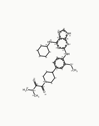 COc1cc(C2CCN(C(=O)C(=O)N(C)C)CC2)ccc1Nc1nc(NC2CCCCC2)c2nc[nH]c2n1